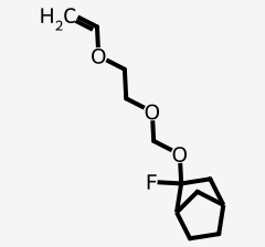 C=COCCOCOC1(F)CC2CCC1C2